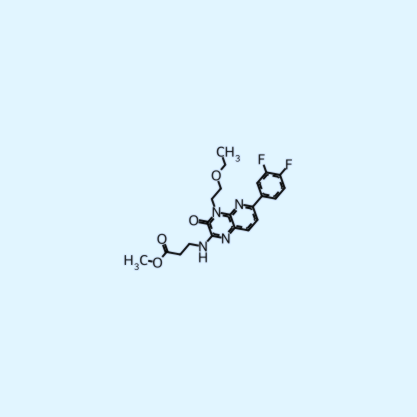 CCOCCn1c(=O)c(NCCC(=O)OC)nc2ccc(-c3ccc(F)c(F)c3)nc21